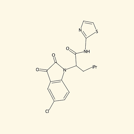 CC(C)CC(C(=O)Nc1nccs1)N1C(=O)C(=O)c2cc(Cl)ccc21